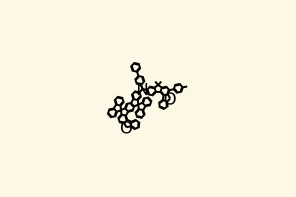 Cc1ccc(-c2cc3c(c4c2oc2ccccc24)-c2ccc(N(c4ccc(-c5ccccc5)cc4)c4ccc5c(c4)C4(c6ccccc6-c6ccccc64)c4cc6c(cc4-5)C4(c5ccccc5-c5ccccc54)c4ccc5oc7ccccc7c5c4-6)cc2C3(C)C)cc1